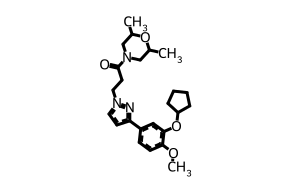 COc1ccc(-c2ccn(CCC(=O)N3CC(C)OC(C)C3)n2)cc1OC1CCCC1